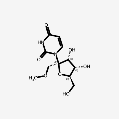 COC[C@@]1(n2ccc(=O)[nH]c2=O)O[C@H](CO)[C@@H](O)[C@H]1O